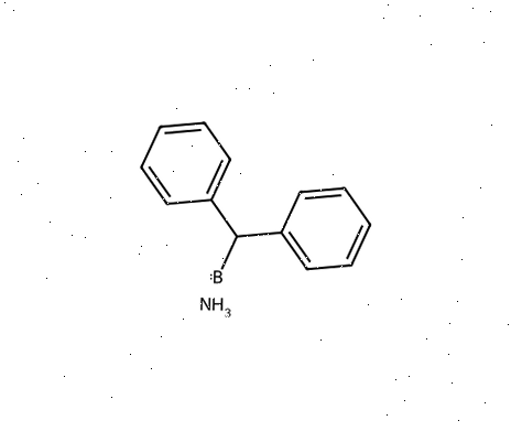 N.[B]C(c1ccccc1)c1ccccc1